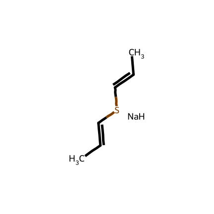 CC=CSC=CC.[NaH]